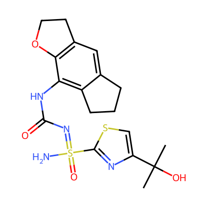 CC(C)(O)c1csc(S(N)(=O)=NC(=O)Nc2c3c(cc4c2OCC4)CCC3)n1